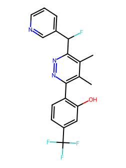 Cc1c(-c2ccc(C(F)(F)F)cc2O)nnc(C(F)c2cccnc2)c1C